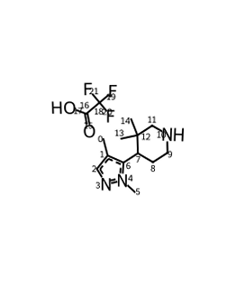 Cc1cnn(C)c1C1CCNCC1(C)C.O=C(O)C(F)(F)F